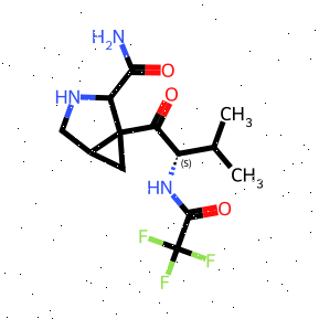 CC(C)[C@H](NC(=O)C(F)(F)F)C(=O)C12CC1CNC2C(N)=O